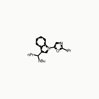 CCCCC(CCC)c1cn(-c2cnc(C(C)C)o2)c2ccccc12